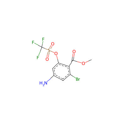 COC(=O)c1c(Br)cc(N)cc1OS(=O)(=O)C(F)(F)F